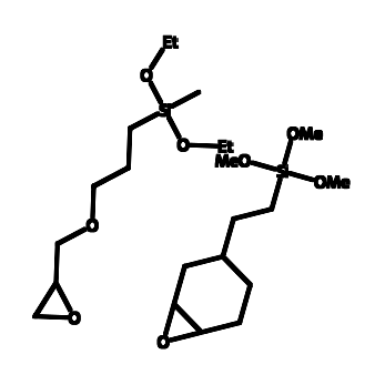 CCO[Si](C)(CCCOCC1CO1)OCC.CO[Si](CCC1CCC2OC2C1)(OC)OC